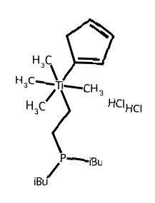 CCC(C)P(C[CH2][Ti]([CH3])([CH3])([CH3])([CH3])[C]1=CC=CC1)C(C)CC.Cl.Cl